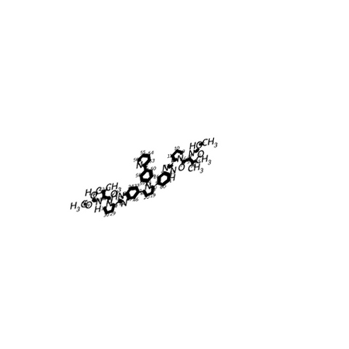 COC(=O)N[C@H](C(=O)N1CCC[C@H]1c1nc2cc([C@@H]3CC[C@@H](c4ccc5[nH]c([C@@H]6CCCN6C(=O)[C@@H](NC(=O)OC)C(C)C)nc5c4)N3c3ccc(-c4ccccn4)cc3)ccc2[nH]1)C(C)C